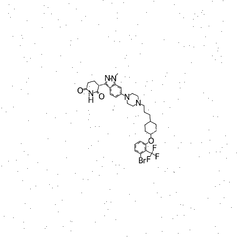 Cn1nc(C2CCC(=O)NC2=O)c2ccc(N3CCN(CCCC4CCC(Oc5cccc(Br)c5C(F)(F)F)CC4)CC3)cc21